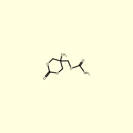 CC1(COC(N)=O)COC(=O)OC1